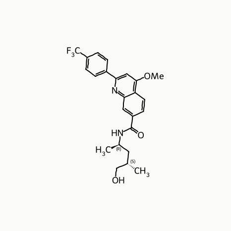 COc1cc(-c2ccc(C(F)(F)F)cc2)nc2cc(C(=O)N[C@H](C)C[C@H](C)CO)ccc12